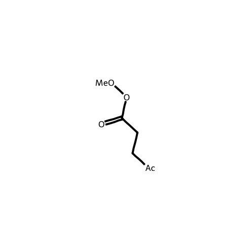 COOC(=O)CCC(C)=O